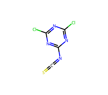 S=C=Nc1nc(Cl)nc(Cl)n1